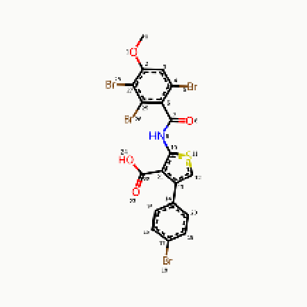 COc1cc(Br)c(C(=O)Nc2scc(-c3ccc(Br)cc3)c2C(=O)O)c(Br)c1Br